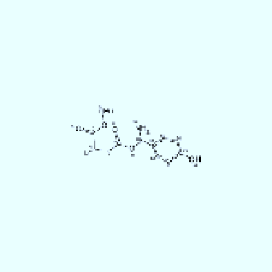 CCCCOC(=O)C(C)CC(=O)OC(N)c1ccc(O)cc1